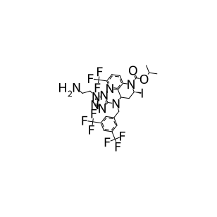 CC(C)OC(=O)N1c2ccc(C(F)(F)F)nc2[C@H](N(Cc2cc(C(F)(F)F)cc(C(F)(F)F)c2)c2nnn(CCN)n2)C[C@@H]1I